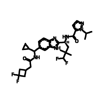 CC(C)n1nccc1C(=O)N[C@@H](CC(C)(C)C(F)F)c1nc2ccc(C(NC(=O)CC3CC(F)(F)C3)C3CC3)cc2[nH]1